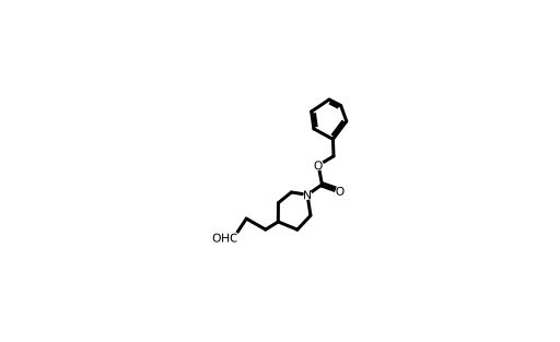 O=CCCC1CCN(C(=O)OCc2ccccc2)CC1